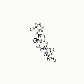 Nc1n[nH]c(N2CCC(C(=O)NCc3ccccc3Cl)CC2)n1